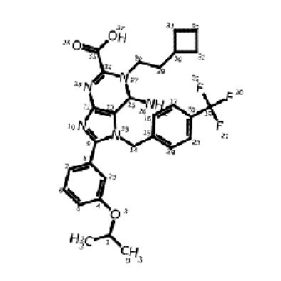 CC(C)Oc1cccc(-c2nc3c(n2Cc2ccc(C(F)(F)F)cc2)C(N)N(CCC2CCC2)C(C(=O)O)=N3)c1